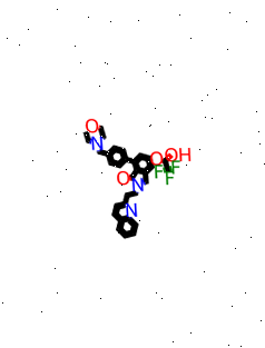 O=C(O)C(F)(F)F.O=C1c2c(cccc2-c2ccc(CN3CCOCC3)cc2)CN1CCc1ccc2ccccc2n1